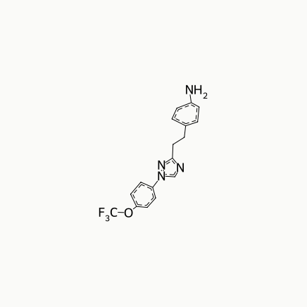 Nc1ccc(CCc2ncn(-c3ccc(OC(F)(F)F)cc3)n2)cc1